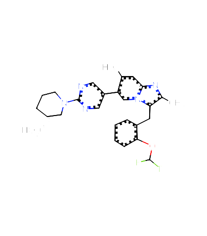 Cc1cc2nc(C)c(Cc3ccccc3OC(F)F)n2cc1-c1cnc(N2CCC[C@@H](C(=O)O)C2)nc1